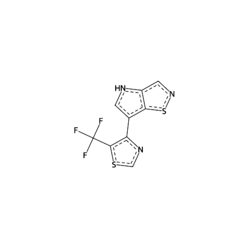 FC(F)(F)c1scnc1-c1c[nH]c2cnsc12